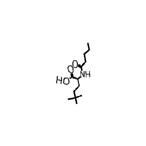 CCCCC(=O)NC(CCC(C)(C)C)C(=O)O